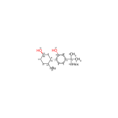 CCCCCCC(C)(C)c1ccc([C@H]2C[C@H](O)CCC2CCCC)c(O)c1